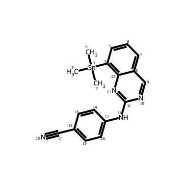 [CH3][Sn]([CH3])([CH3])[c]1cccc2cnc(Nc3ccc(C#N)cc3)nc12